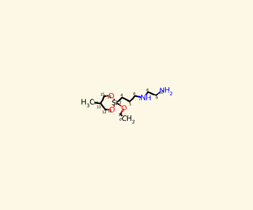 CCO[Si]1(CCCNCCN)OCC(C)CO1